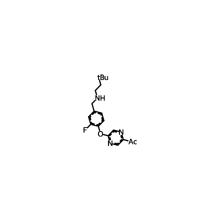 CC(=O)c1cnc(Oc2ccc(CNCCC(C)(C)C)cc2F)cn1